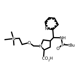 CC(C)(C)[S+]([O-])NC(c1ccccn1)C1CC(C(=O)O)N(COCC[Si](C)(C)C)C1